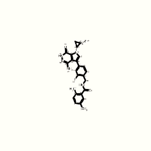 Cc1ccc(C)c(C(=O)NCc2ccc(-c3cn([C@@H]4C[C@@H]4F)c4c(=O)[nH]nc(N)c34)cc2F)c1